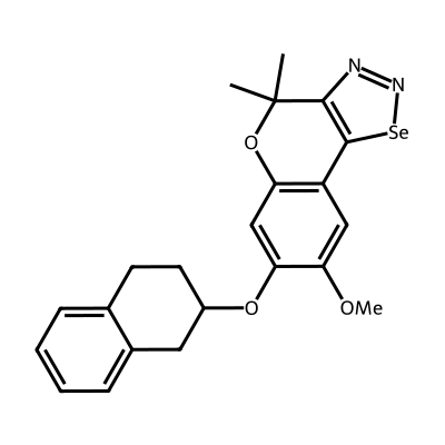 COc1cc2c(cc1OC1CCc3ccccc3C1)OC(C)(C)c1nn[se]c1-2